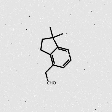 CC1(C)CCc2c(CC=O)cccc21